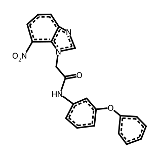 O=C(Cn1cnc2cccc([N+](=O)[O-])c21)Nc1cccc(Oc2ccccc2)c1